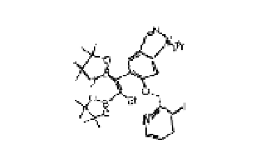 CC/C(B1OC(C)(C)C(C)(C)O1)=C(/B1OC(C)(C)C(C)(C)O1)c1cc2cnn(C(C)C)c2cc1OCc1ncccc1I